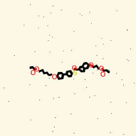 C=CC(=O)OCCCCCCOc1ccc(-c2ccc(SC(=O)c3ccc4cc(OCCCOC(=O)C=C)ccc4c3)cc2)cc1